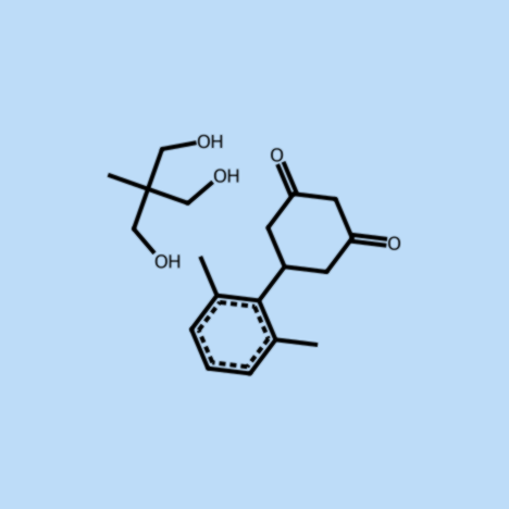 CC(CO)(CO)CO.Cc1cccc(C)c1C1CC(=O)CC(=O)C1